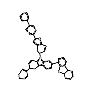 C1=CC2Sc3c(-c4ccc5c6c(n(C7C=Cc8sc(-c9ncc(-c%10ccccc%10)cn9)cc8C7)c5c4)C=CC(C4=CCCC=C4)C6)cccc3C2C=C1